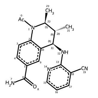 CC(=O)N1c2ccc(C(N)=O)cc2[C@H](Nc2ncccc2C#N)[C@@H](C)[C@@H]1C